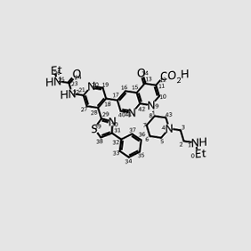 CCNCCN1CCC[C@H](n2cc(C(=O)O)c(=O)c3cc(-c4cnc(NC(=O)NCC)cc4-c4nc(-c5ccccc5)cs4)cnc32)C1